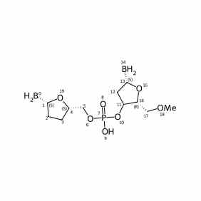 B[C@H]1CC[C@@H](COP(=O)(O)OC2C[C@H](B)O[C@@H]2COC)O1